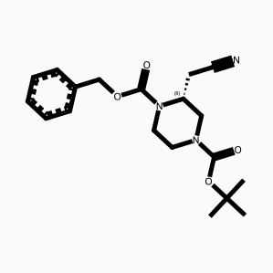 CC(C)(C)OC(=O)N1CCN(C(=O)OCc2ccccc2)[C@H](CC#N)C1